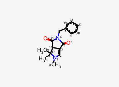 CN1C=C2C(=O)N(Cc3ccccc3)C(=O)C2C1(C)C